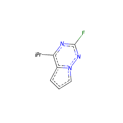 CC(C)c1nc(F)nn2cccc12